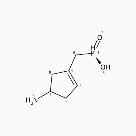 NC1CC=C(C[P@@H](=O)O)C1